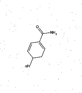 CCCC1C=CC(C(N)=O)=CC1